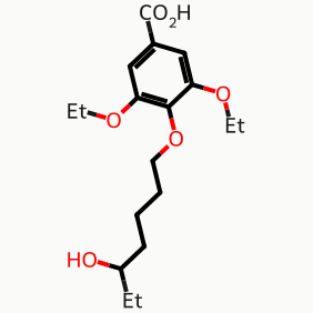 CCOc1cc(C(=O)O)cc(OCC)c1OCCCCC(O)CC